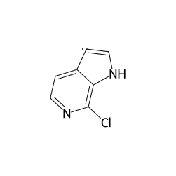 Clc1nccc2[c]c[nH]c12